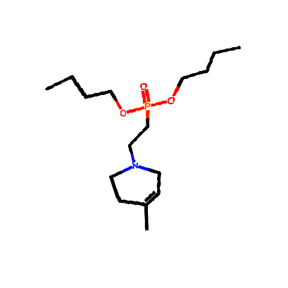 CCCCOP(=O)(CCN1CC=C(C)CC1)OCCCC